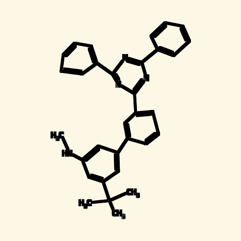 CNc1cc(-c2cccc(-c3nc(-c4ccccc4)nc(-c4ccccc4)n3)c2)cc(C(C)(C)C)c1